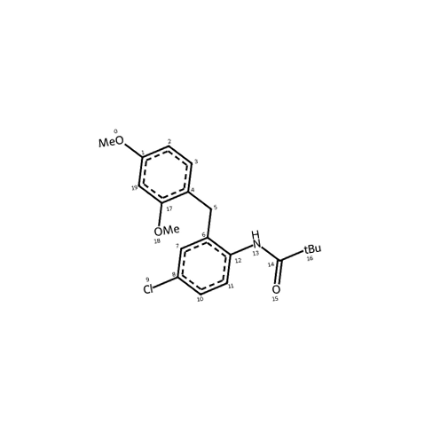 COc1ccc(Cc2cc(Cl)ccc2NC(=O)C(C)(C)C)c(OC)c1